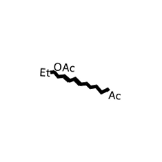 CCC(C/C=C/C=C/CCCCCC(C)=O)OC(C)=O